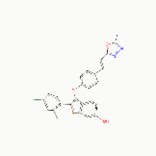 Cc1nnc(/C=C/c2ccc(Oc3c(-c4ccc(F)cc4C)sc4cc(O)ccc34)cc2)o1